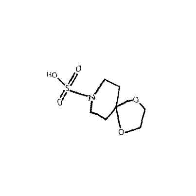 O=S(=O)(O)N1CCC2(CC1)OCCO2